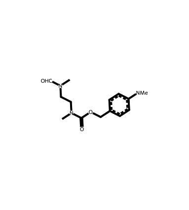 CNc1ccc(COC(=O)N(C)CCN(C)C=O)cc1